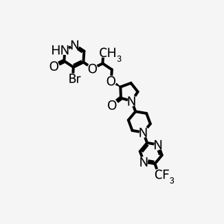 CC(CO[C@H]1CCN(C2CCN(c3cnc(C(F)(F)F)cn3)CC2)C1=O)Oc1cn[nH]c(=O)c1Br